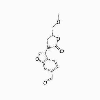 COCC1CN(c2coc3cc(C=O)ccc23)C(=O)O1